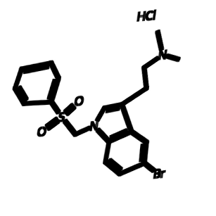 CN(C)CCc1cn(CS(=O)(=O)c2ccccc2)c2ccc(Br)cc12.Cl